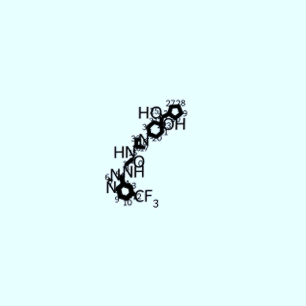 O=C(CNc1ncnc2ccc(C(F)(F)F)cc12)NC1CN([C@H]2CC[C@@](O)(C(O)C3CCCC3)CC2)C1